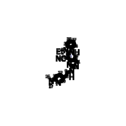 CCN1/C(=C(\C#N)c2nc(NCCc3ccc(N(C)C)nc3)ncc2C)Nc2ccccc21